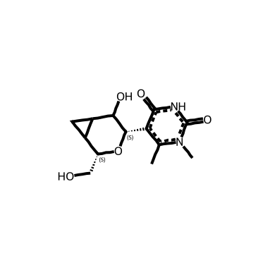 Cc1c([C@@H]2O[C@H](CO)C3CC3C2O)c(=O)[nH]c(=O)n1C